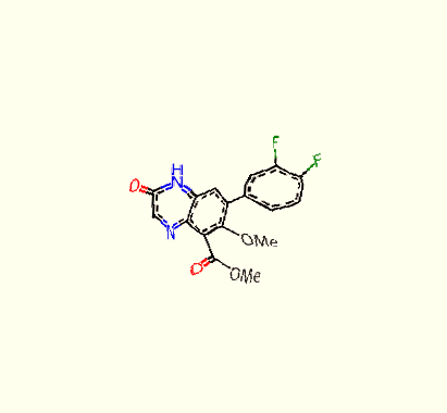 COC(=O)c1c(OC)c(-c2ccc(F)c(F)c2)cc2[nH]c(=O)cnc12